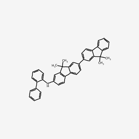 CC1(C)c2ccccc2-c2ccc(-c3ccc4c(c3)C(C)(C)c3cc(Nc5ccccc5-c5ccccc5)ccc3-4)cc21